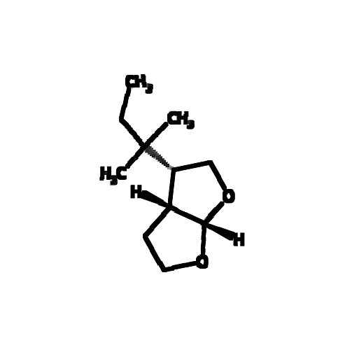 CCC(C)(C)[C@@H]1CO[C@@H]2OCC[C@@H]21